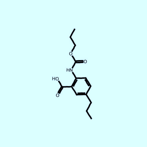 CCCOC(=O)Nc1ccc(CCC)cc1C(=O)O